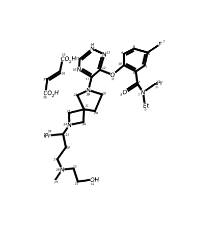 CCN(C(=O)c1cc(F)ccc1Oc1nncnc1N1CCC2(C1)CN(C(CCN(C)CCO)C(C)C)C2)C(C)C.O=C(O)/C=C/C(=O)O